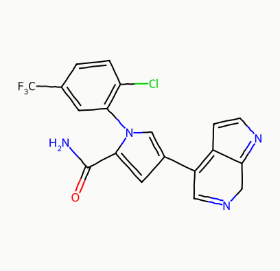 NC(=O)c1cc(C2=C3C=CN=C3CN=C2)cn1-c1cc(C(F)(F)F)ccc1Cl